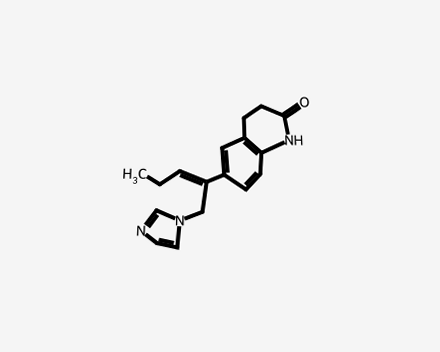 CCC=C(Cn1ccnc1)c1ccc2c(c1)CCC(=O)N2